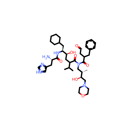 CC(C)C(C[C@H](O)[C@H](CC1CCCCC1)NC(=O)[C@@H](N)Cc1c[nH]cn1)C(=O)N(C[C@H](C)[C@H](O)CN1CCOCC1)C(=O)C(C[C]=O)Cc1ccccc1